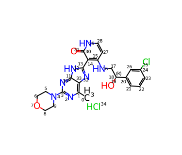 Cc1nc(N2CCOCC2)nc2[nH]c(-c3c(NC[C@H](O)c4cccc(Cl)c4)cc[nH]c3=O)nc12.Cl